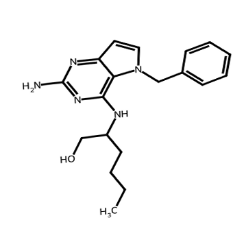 CCCCC(CO)Nc1nc(N)nc2ccn(Cc3ccccc3)c12